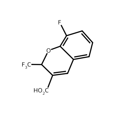 O=C(O)C1=Cc2cccc(F)c2OC1C(F)(F)F